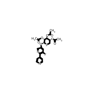 CC(=O)O[C@@H]1[C@@H](OC(C)=O)[C@H](OC(C)=O)CS[C@H]1Oc1cnc(-c2ccncc2)c(F)c1